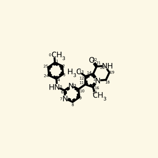 Cc1ccc(Nc2nccc(-c3c(C)c4n(c3C)CCNC4=O)n2)cc1